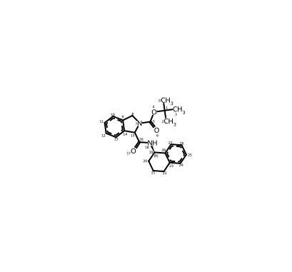 CC(C)(C)OC(=O)N1Cc2ccccc2C1C(=O)N[C@@H]1CCCc2ccccc21